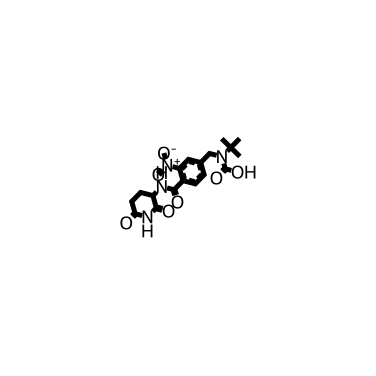 CC(C)(C)N(Cc1ccc(C(=O)NC2CCC(=O)NC2=O)c([N+](=O)[O-])c1)C(=O)O